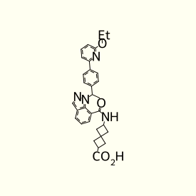 CCOc1cccc(-c2ccc(C(C)n3ncc4cccc(C(=O)NC5CC6(C5)CC(C(=O)O)C6)c43)cc2)n1